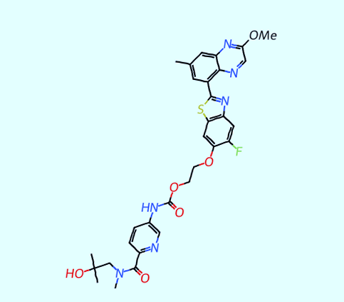 COc1cnc2c(-c3nc4cc(F)c(OCCOC(=O)Nc5ccc(C(=O)N(C)CC(C)(C)O)nc5)cc4s3)cc(C)cc2n1